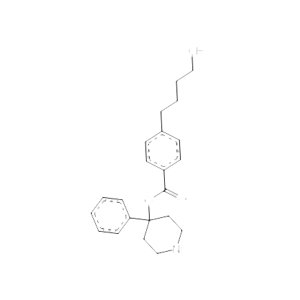 CCCCCc1ccc(C(=O)OC2(c3ccccc3)CCNCC2)cc1